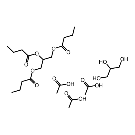 CC(=O)O.CC(=O)O.CC(=O)O.CCCC(=O)OCC(COC(=O)CCC)OC(=O)CCC.OCC(O)CO